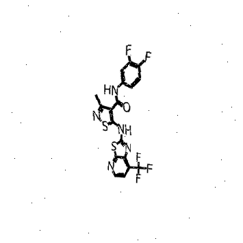 Cc1nsc(Nc2nc3c(C(F)(F)F)ccnc3s2)c1C(=O)Nc1ccc(F)c(F)c1